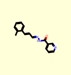 Cc1ccccc1C=CC=NNC(=O)c1cccnc1